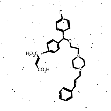 Fc1ccc(C(OCCN2CCN(CC=Cc3ccccc3)CC2)c2ccc(F)cc2)cc1.O=C(O)C=CC(=O)O